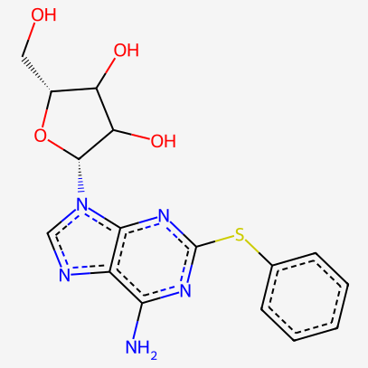 Nc1nc(Sc2ccccc2)nc2c1ncn2[C@@H]1O[C@H](CO)C(O)C1O